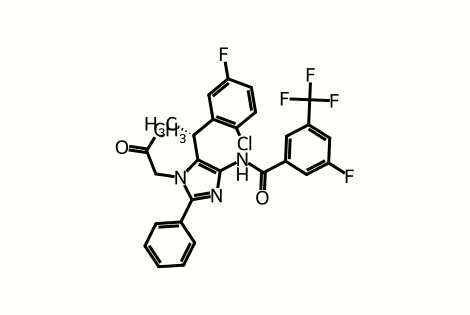 CC(=O)Cn1c(-c2ccccc2)nc(NC(=O)c2cc(F)cc(C(F)(F)F)c2)c1[C@H](C)c1cc(F)ccc1Cl